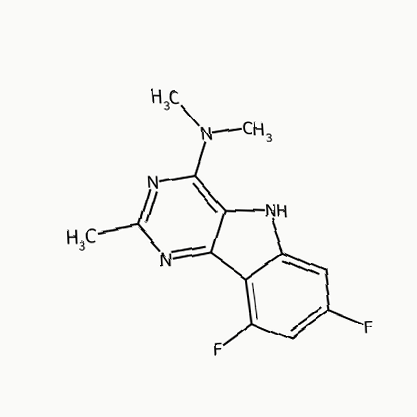 Cc1nc(N(C)C)c2[nH]c3cc(F)cc(F)c3c2n1